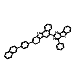 C1=C(c2ccc(-c3ccc4ccccc4c3)cc2)CCc2c1oc1c2cc(-c2nc(-c3ccccc3)c3sc4ccccc4c3n2)c2ccccc21